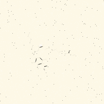 CCCCCC[C@@H](C/C=C\CCCCCCCC(=O)OC)Oc1cc(C)c(C(=O)O)c(O)c1C